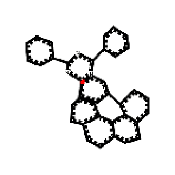 c1ccc(-c2nc(-c3ccccc3)nc(-c3ccc4ccc5ccc6cccc(-c7ccccc7)c6c5c4c3)n2)cc1